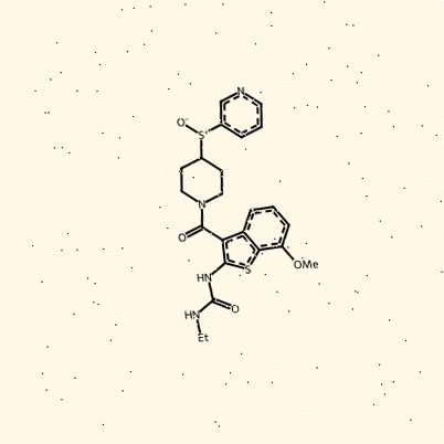 CCNC(=O)Nc1sc2c(OC)cccc2c1C(=O)N1CCC([S+]([O-])c2cccnc2)CC1